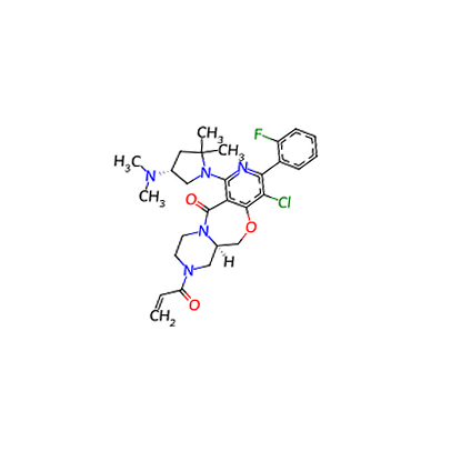 C=CC(=O)N1CCN2C(=O)c3c(N4C[C@H](N(C)C)CC4(C)C)nc(-c4ccccc4F)c(Cl)c3OC[C@H]2C1